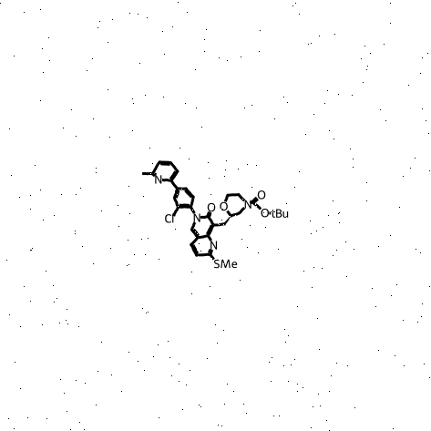 CSc1ccc2cn(-c3ccc(-c4cccc(C)n4)cc3Cl)c(=O)c(C[C@@H]3CN(C(=O)OC(C)(C)C)CCO3)c2n1